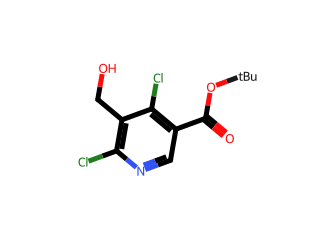 CC(C)(C)OC(=O)c1cnc(Cl)c(CO)c1Cl